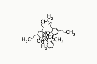 C=CCc1cc(CC=C)c(O)c(C(C)(C)c2ccccc2C(C)(C)c2cc(CC=C)cc(CC=C)c2O)c1